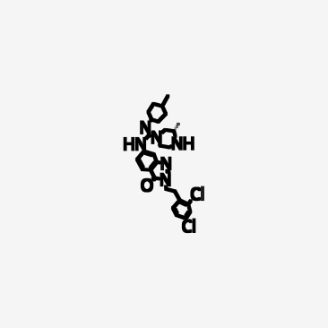 CC1CCC(/N=C(/Nc2ccc3c(=O)n(CCc4ccc(Cl)cc4Cl)cnc3c2)N2CCN[C@@H](C)C2)CC1